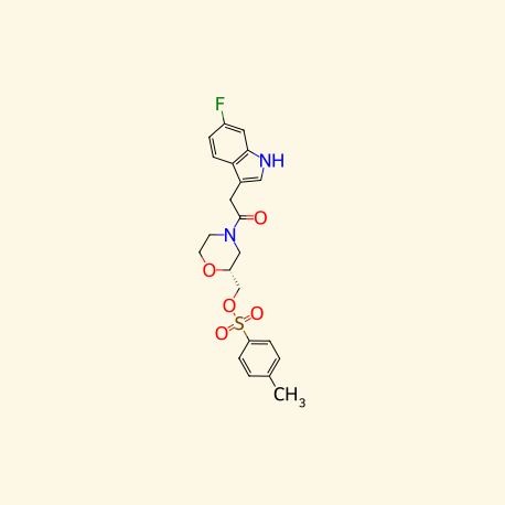 Cc1ccc(S(=O)(=O)OC[C@H]2CN(C(=O)Cc3c[nH]c4cc(F)ccc34)CCO2)cc1